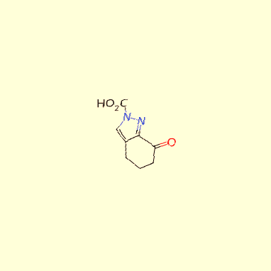 O=C1CCCc2cn(C(=O)O)nc21